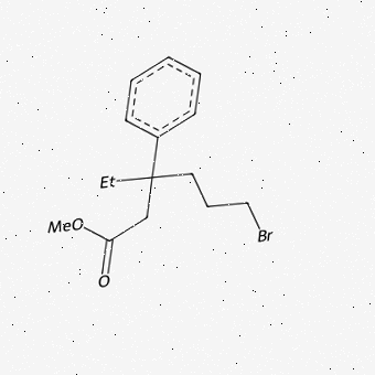 CCC(CCCBr)(CC(=O)OC)c1ccccc1